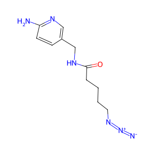 [N-]=[N+]=NCCCCC(=O)NCc1ccc(N)nc1